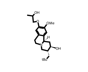 COc1cc2c(cc1OCC(C)O)CCN1C[C@@H](CC(C)(C)C)[C@H](O)C[C@H]21